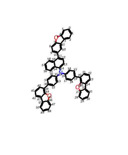 c1ccc2c(c1)oc1ccc(-c3ccc(N(c4ccc(-c5cccc6c5oc5ccccc56)cc4)c4ccc(-c5cccc6c5oc5ccccc56)cc4)c4ccccc34)cc12